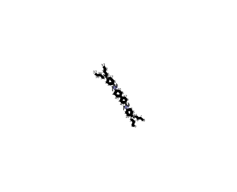 CCCCN(CCCC)c1ccc(/N=N/c2ccc(-c3ccc(/N=N/c4ccc(N(CCCC)CCCC)cc4)cc3)cc2)cc1